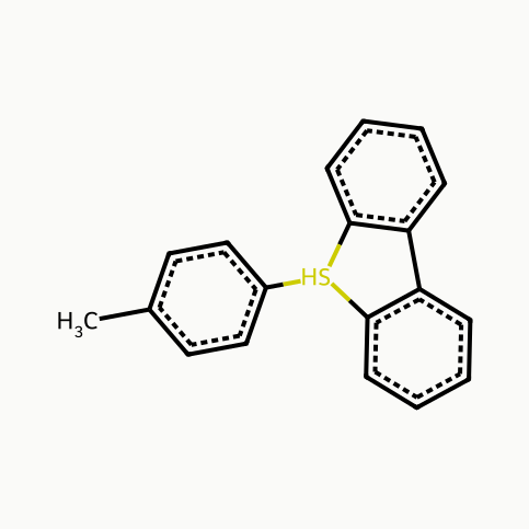 Cc1ccc([SH]2c3ccccc3-c3ccccc32)cc1